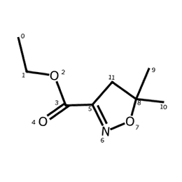 CCOC(=O)C1=NOC(C)(C)C1